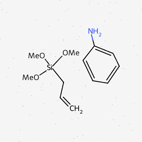 C=CC[Si](OC)(OC)OC.Nc1ccccc1